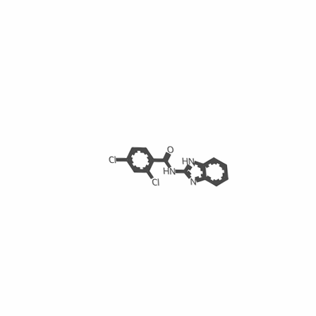 O=C(Nc1nc2ccccc2[nH]1)c1ccc(Cl)cc1Cl